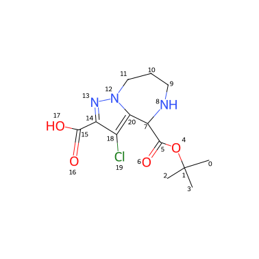 CC(C)(C)OC(=O)C1NCCCn2nc(C(=O)O)c(Cl)c21